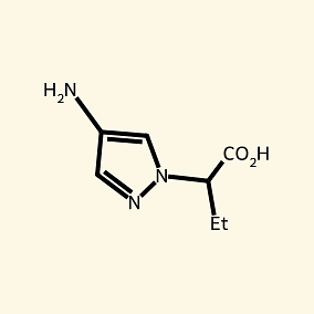 CCC(C(=O)O)n1cc(N)cn1